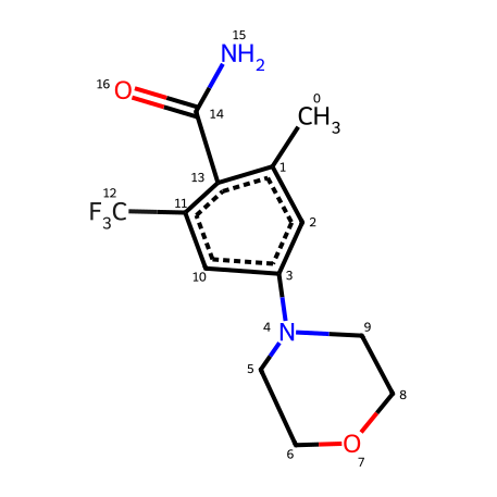 Cc1cc(N2CCOCC2)cc(C(F)(F)F)c1C(N)=O